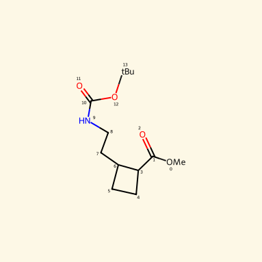 COC(=O)C1CCC1CCNC(=O)OC(C)(C)C